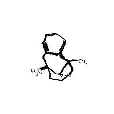 CC12CCCC(C)(c3ccccc31)C2O